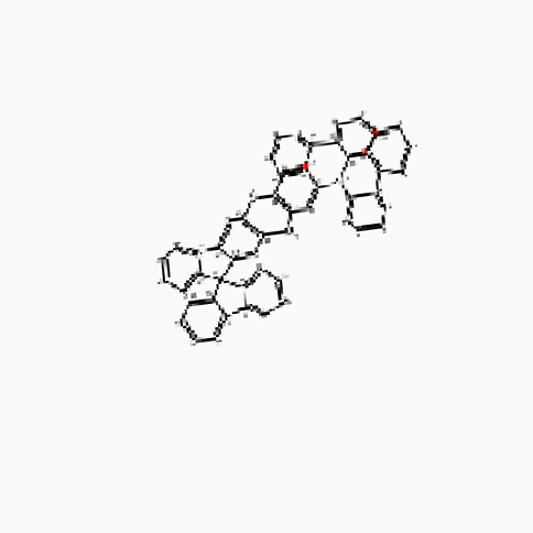 c1ccc(-c2ccccc2N(c2ccc3c(c2)Oc2cc4c(cc2O3)-c2ccccc2C42c3ccccc3-c3ccccc32)c2ccccc2-c2ccccc2)cc1